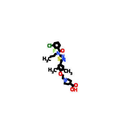 CCCCN(C(=O)c1cccc(Cl)c1F)c1nnc(-c2cc(C)c(OCCN3CCC(C(=O)O)CC3)c(C)c2)s1